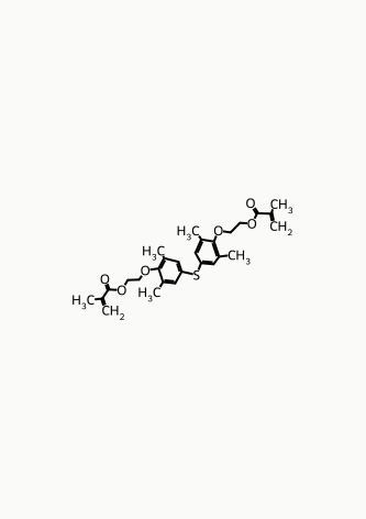 C=C(C)C(=O)OCCOc1c(C)cc(Sc2cc(C)c(OCCOC(=O)C(=C)C)c(C)c2)cc1C